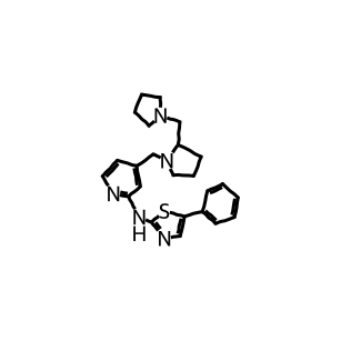 c1ccc(-c2cnc(Nc3cc(CN4CCCC4CN4CCCC4)ccn3)s2)cc1